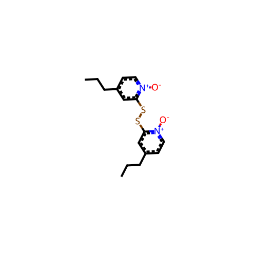 CCCc1cc[n+]([O-])c(SSc2cc(CCC)cc[n+]2[O-])c1